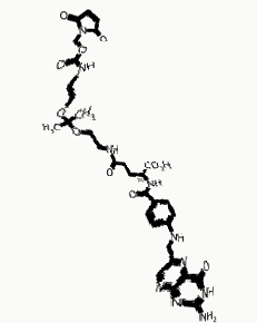 CC(C)(OCCNC(=O)CC[C@H](NC(=O)c1ccc(NCc2cnc3nc(N)[nH]c(=O)c3n2)cc1)C(=O)O)OCCNC(=O)OCN1C(=O)C=CC1=O